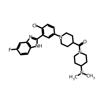 CN(C)C1CCN(C(=O)C2CCN(c3ccc(Cl)c(-c4nc5cc(F)ccc5[nH]4)c3)CC2)CC1